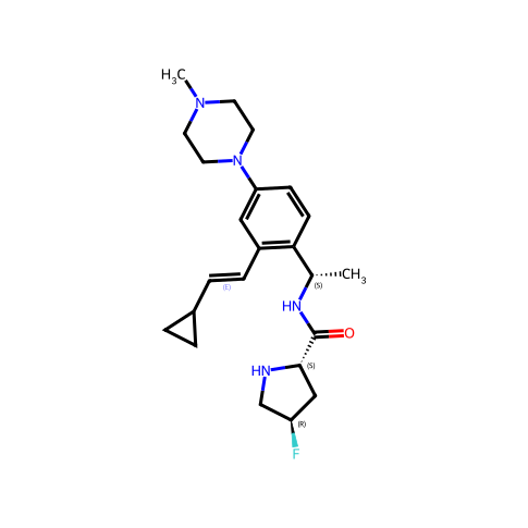 C[C@H](NC(=O)[C@@H]1C[C@@H](F)CN1)c1ccc(N2CCN(C)CC2)cc1/C=C/C1CC1